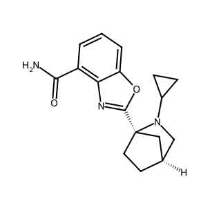 NC(=O)c1cccc2oc([C@]34CC[C@H](CN3C3CC3)C4)nc12